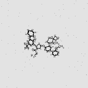 COC(=O)[C@@H]1C[C@H](Oc2ncc(-c3cccnc3OC)cc2N2CCOC3(COC3)[C@@H]2C)CN1c1nc(C(F)(F)F)nc2c1oc1ccccc12